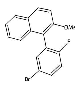 COc1ccc2ccccc2c1-c1cc(Br)ccc1F